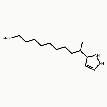 CCCCCCCCCCCCCCCCCC(C)N1C=NNN1